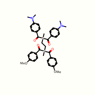 COc1ccc(C(=O)[Si](C)(CC[Si](C)(C(=O)c2ccc(N(C)C)cc2)C(=O)c2ccc(N(C)C)cc2)C(=O)c2ccc(OC)cc2)cc1